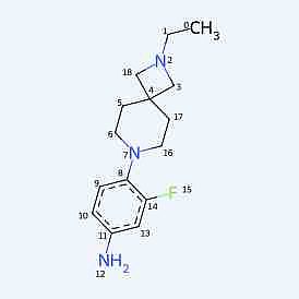 CCN1CC2(CCN(c3ccc(N)cc3F)CC2)C1